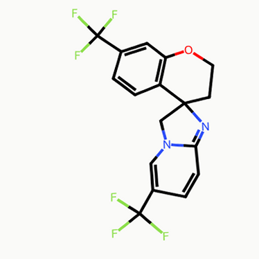 FC(F)(F)C1=CN2CC3(CCOc4cc(C(F)(F)F)ccc43)N=C2C=C1